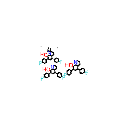 Oc1c(-c2ccc(F)cc2)cc(-c2ccc(F)cc2)c2cccnc12.Oc1c(-c2ccc(F)cc2)cc(-c2ccc(F)cc2)c2cccnc12.Oc1c(-c2ccc(F)cc2)cc(-c2ccc(F)cc2)c2cccnc12.[Al]